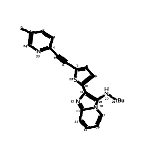 Cc1ccc(C#Cc2ccc(-c3nc4ccccn4c3NC(C)(C)C)s2)nc1